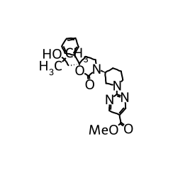 COC(=O)c1cnc(N2CCC[C@H](N3CC[C@](CC(C)(C)O)(c4ccccc4)OC3=O)C2)nc1